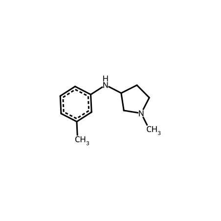 Cc1cccc(NC2CCN(C)C2)c1